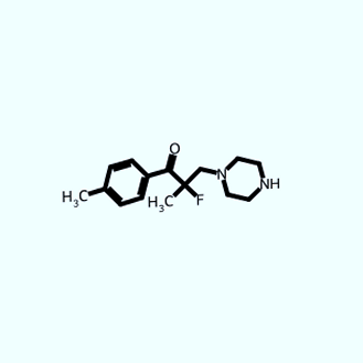 Cc1ccc(C(=O)C(C)(F)CN2CCNCC2)cc1